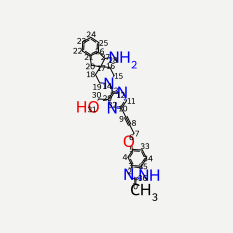 Cc1nc2cc(OCC#Cc3cnc(N4CCC5(CC4)Cc4ccccc4C5N)c(CO)n3)ccc2[nH]1